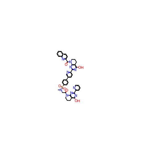 CN(CC(=O)N1CCCc2c(O)nc(-c3ccccn3)nc21)S(=O)(=O)c1ccc(-c2ccc(-c3nc(O)c4c(n3)N(C(=O)c3ccc5ccccc5n3)CCC4)nc2)cc1